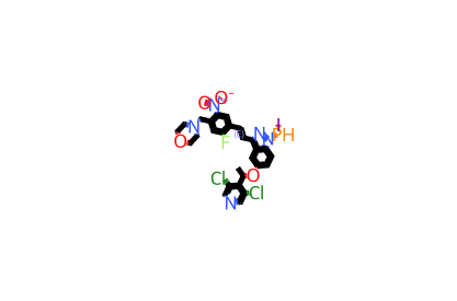 CC(Oc1ccc2c(c1)c(/C=C/c1cc([N+](=O)[O-])c(CN3CCOCC3)cc1F)nn2PI)c1c(Cl)cncc1Cl